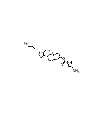 CC(C)CCCC[C@H]1CCC2C3CC=C4CC(OC(=O)NCCN)CCC4(C)C3CC[C@@]21C